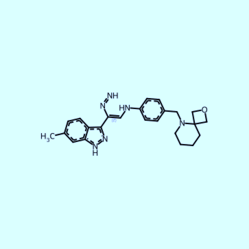 Cc1ccc2c(/C(=C/Nc3ccc(CN4CCCCC45COC5)cc3)N=N)n[nH]c2c1